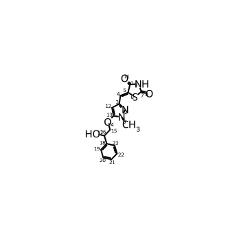 Cn1nc(/C=C2\SC(=O)NC2=O)cc1OCC(O)c1ccccc1